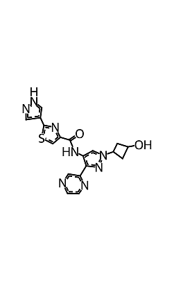 O=C(Nc1cn(C2CC(O)C2)nc1-c1cnccn1)c1csc(-c2cn[nH]c2)n1